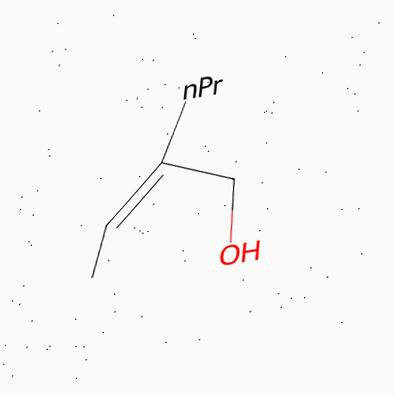 CC=C(CO)CCC